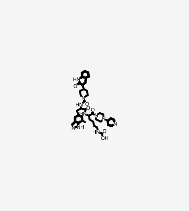 Cc1cc(CC(NC(=O)N2CCC(c3cc4ccccc4[nH]c3=O)CC2)C(=O)NC(CCCCNC(=O)O)C(=O)N2CCN(c3ccncc3)CC2)cc2cn[nH]c12